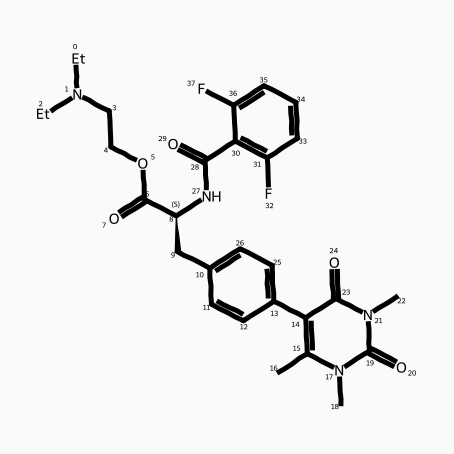 CCN(CC)CCOC(=O)[C@H](Cc1ccc(-c2c(C)n(C)c(=O)n(C)c2=O)cc1)NC(=O)c1c(F)cccc1F